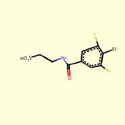 CCc1c(F)cc(C(=O)NCCS(=O)(=O)O)cc1F